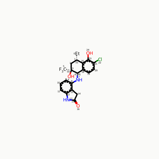 CC[C@H]1C[C@@](O)(C(F)(F)F)[C@H](Nc2cccc3c2CC(=O)N3)c2ccc(Cl)c(O)c21